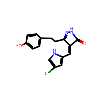 O=C1NN=C(CCc2ccc(O)cc2)C1=Cc1cc(Cl)c[nH]1